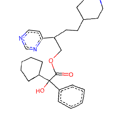 O=C(OCC(CCC1CCNCC1)c1ccncn1)C(O)(c1ccccc1)C1CCCCC1